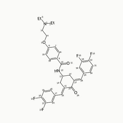 CCN(CC)CCOc1ccc(C(=O)NC2CC(=Cc3ccc(F)c(F)c3)C(=O)C(=Cc3ccc(F)c(F)c3)C2)cc1